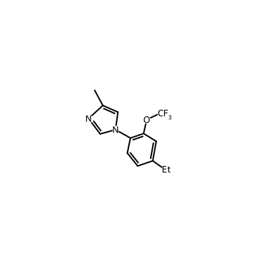 CCc1ccc(-n2cnc(C)c2)c(OC(F)(F)F)c1